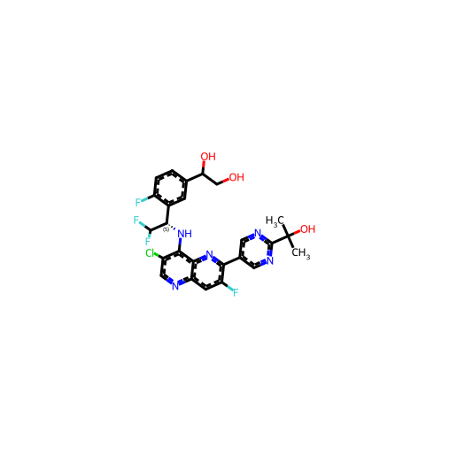 CC(C)(O)c1ncc(-c2nc3c(N[C@@H](c4cc(C(O)CO)ccc4F)C(F)F)c(Cl)cnc3cc2F)cn1